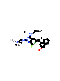 CNCCN(C)c1nc(N2CC(N(C)C)C2)nc(=C\F)/c1=C\C(Cl)=C(/C)c1cc(O)cc2ccccc12